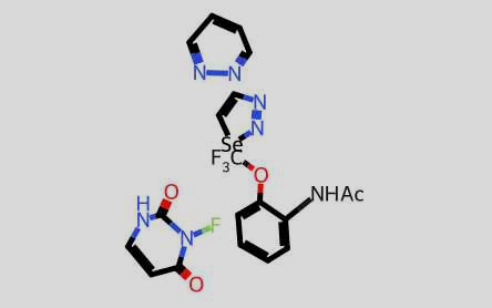 CC(=O)Nc1ccccc1OC(F)(F)F.O=c1cc[nH]c(=O)n1F.c1c[se]nn1.c1ccnnc1